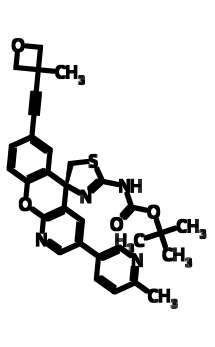 Cc1ccc(-c2cnc3c(c2)[C@]2(CSC(NC(=O)OC(C)(C)C)=N2)c2cc(C#CC4(C)COC4)ccc2O3)cn1